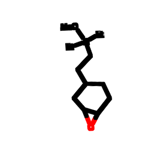 CC[Si](CC)(CCC1CCC2OC2C1)OC